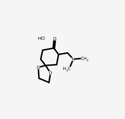 CN(C)CC1CC2(CCC1=O)OCCO2.Cl